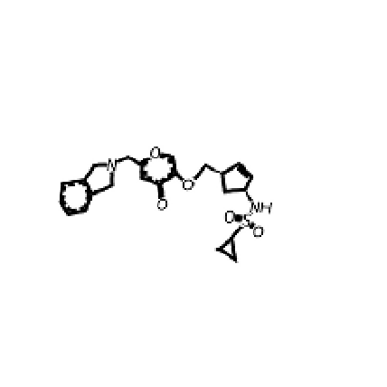 O=c1cc(CN2Cc3ccccc3C2)occ1OC[C@H]1C=C[C@@H](NS(=O)(=O)C2CC2)C1